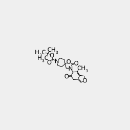 CC1=C2COC=C2CC(=O)C1N1CC2(CCN(C(=O)OC(C)(C)C)CC2)OC1=O